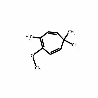 CC1(C)C=CC(P)=C(OC#N)C=C1